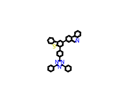 c1ccc(-c2nc(-c3ccccc3)nc(-c3ccc(-c4cc(-c5ccc6c(cnc7ccccc76)c5)cc5c4sc4ccccc45)cc3)n2)cc1